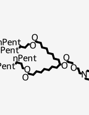 CCCCCC(CCCCC)CCOC(=O)CCCCCCCC(CCCCCCCC(=O)OCCC(CCCCC)CCCCC)OC(=O)COCCN1CCOCC1